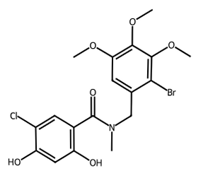 COc1cc(CN(C)C(=O)c2cc(Cl)c(O)cc2O)c(Br)c(OC)c1OC